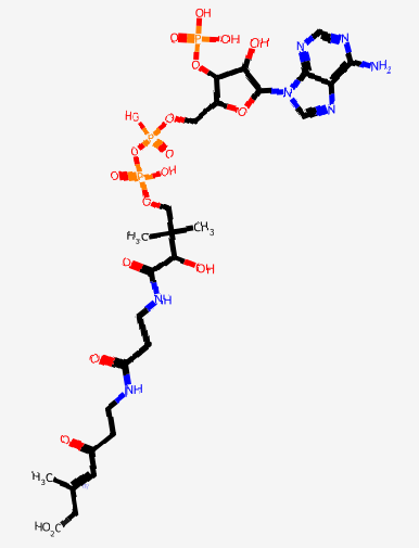 C/C(=C\C(=O)CCNC(=O)CCNC(=O)C(O)C(C)(C)COP(=O)(O)OP(=O)(O)OCC1OC(n2cnc3c(N)ncnc32)C(O)C1OP(=O)(O)O)CC(=O)O